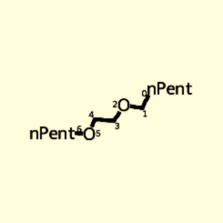 CCCCCCOCCOCCCCC